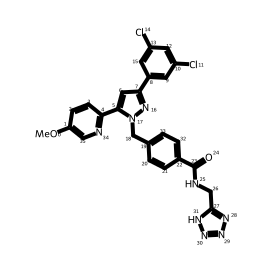 COc1ccc(-c2cc(-c3cc(Cl)cc(Cl)c3)nn2Cc2ccc(C(=O)NCc3nnn[nH]3)cc2)nc1